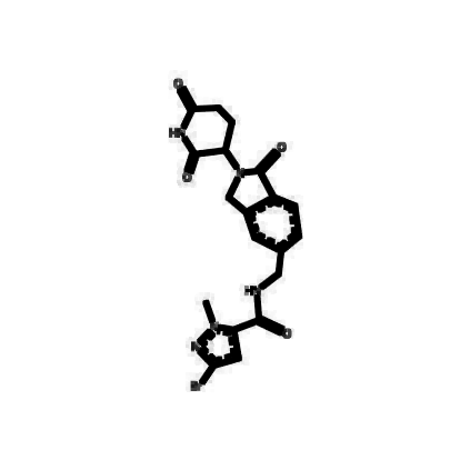 Cn1nc(Br)cc1C(=O)NCc1ccc2c(c1)CN(C1CCC(=O)NC1=O)C2=O